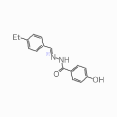 CCc1ccc(/C=N/NC(=O)c2ccc(O)cc2)cc1